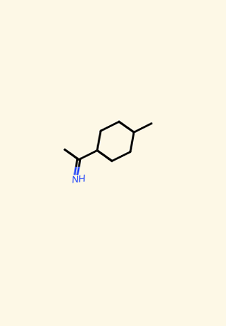 CC(=N)C1CCC(C)CC1